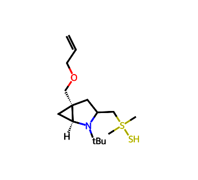 C=CCOC[C@]12CC(CS(C)(C)S)N(C(C)(C)C)[C@H]1C2